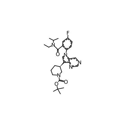 CCN(C(=O)c1cc(F)ccc1-n1cc([C@@H]2CCCN(C(=O)OC(C)(C)C)C2)c2ncncc21)C(C)C